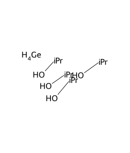 CC(C)O.CC(C)O.CC(C)O.CC(C)O.[GeH4]